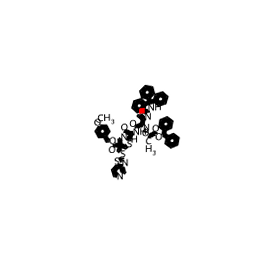 COc1ccc(COC(=O)C2(CSc3nc4cnccc4s3)CS[C@@H]3C(NC(=O)C(=NO[C@@H](C)C(=O)OC(c4ccccc4)c4ccccc4)c4csc(NC(c5ccccc5)(c5ccccc5)c5ccccc5)n4)C(=O)N3C2)cc1